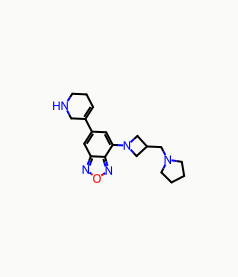 C1=C(c2cc(N3CC(CN4CCCC4)C3)c3nonc3c2)CNCC1